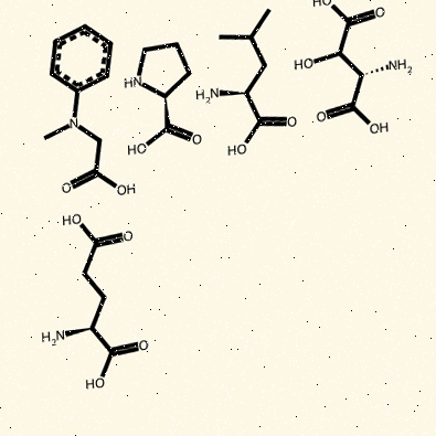 CC(C)C[C@H](N)C(=O)O.CN(CC(=O)O)c1ccccc1.N[C@@H](CCC(=O)O)C(=O)O.N[C@H](C(=O)O)C(O)C(=O)O.O=C(O)[C@@H]1CCCN1